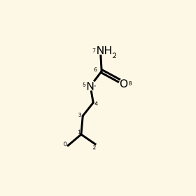 CC(C)CC[N]C(N)=O